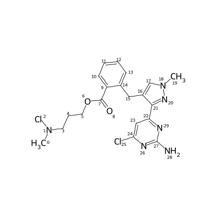 CN(Cl)CCCOC(=O)c1ccccc1Cc1cn(C)nc1-c1cc(Cl)nc(N)n1